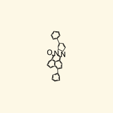 O=c1c2cccc3c(-c4ccccc4)ccc(c4n1C1C=C(c5ccccc5)C=CC1N=4)c32